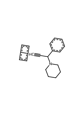 C#CC(c1ccccc1)N1CCCCC1.c1cc2ccc1-2